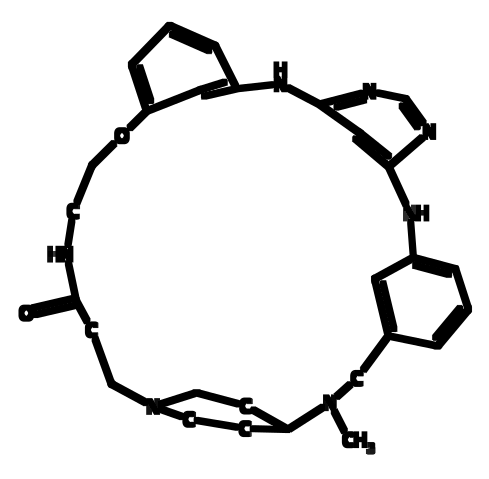 CN1Cc2cccc(c2)Nc2cc(ncn2)Nc2cccc(c2)OCCNC(=O)CCN2CCC1CC2